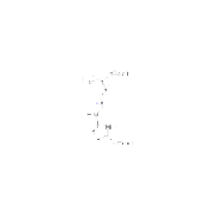 CCCCC/C(C)=C/C=C/Nc1ccc(CCCCC)[nH]1